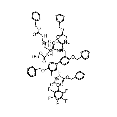 CN(CC(=O)OCc1ccccc1)C(=O)[C@H](Cc1cc(-c2ccc(OCc3ccccc3)c(C[C@H](NC(=O)OCc3ccccc3)C(=O)Oc3c(F)c(F)c(F)c(F)c3F)c2)ccc1OCc1ccccc1)NC(=O)[C@H](C[C@@H](O)CNC(=O)OCc1ccccc1)NC(=O)OC(C)(C)C